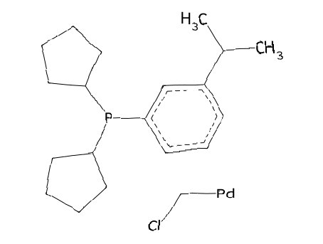 CC(C)c1cccc(P(C2CCCC2)C2CCCC2)c1.Cl[CH2][Pd]